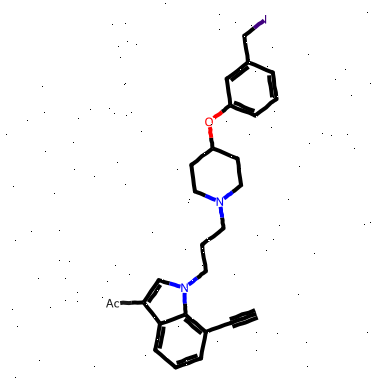 C#Cc1cccc2c(C(C)=O)cn(CCCN3CCC(Oc4cccc(CI)c4)CC3)c12